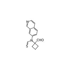 O=CC1(N(C=S)c2ccc3ccncc3c2)CCC1